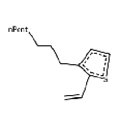 C=Cc1sccc1CCCCCCCC